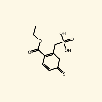 CCOC(=O)C1=C(CP(=O)(O)O)CC(=S)C=C1